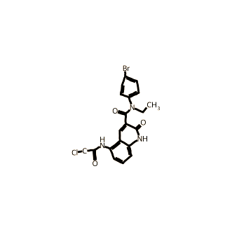 CCN(C(=O)c1cc2c(NC(=O)CCl)cccc2[nH]c1=O)c1ccc(Br)cc1